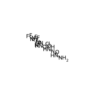 NCCNC(=O)CNCCNC(=O)c1ccc(Nc2nccn3c(-c4cn(CC(F)F)nc4C(F)(F)F)cnc23)cc1Cl